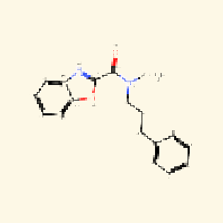 O=C(O)N(CCCc1ccccc1)C(=O)c1nc2ccccc2o1